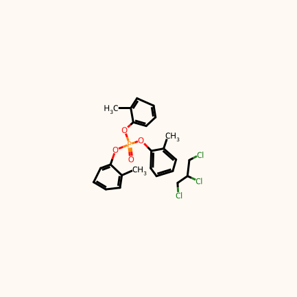 Cc1ccccc1OP(=O)(Oc1ccccc1C)Oc1ccccc1C.ClCC(Cl)CCl